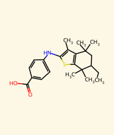 CCC1CC(C)(C)c2c(sc(Nc3ccc(C(=O)O)cc3)c2C)C1(C)C